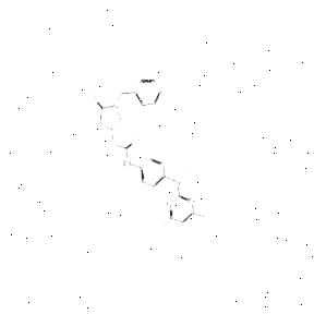 Cc1cc(C)nc(N(C)c2ccc(NC(=O)OC3CC(=O)N(Cc4ccccc4)C3)cc2)n1